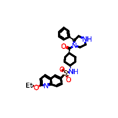 CCOc1ccc2cc(S(=O)(=O)N[C@H]3CC[C@H](C(=O)N4CCNC[C@@H]4c4ccccc4)CC3)ccc2n1